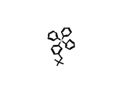 CC(C)(C)Cc1cccc([Si](c2ccccc2)(c2ccccc2)c2ccccc2)c1